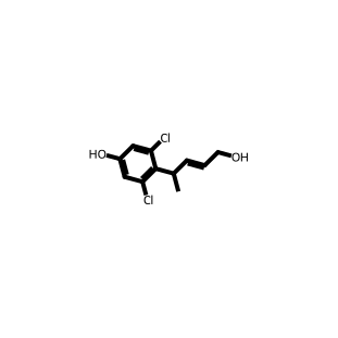 CC(C=CCO)c1c(Cl)cc(O)cc1Cl